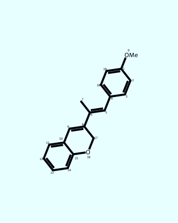 COc1ccc(/C=C(\C)C2=Cc3ccccc3OC2)cc1